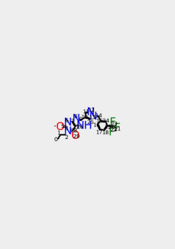 CCCn1c([O])nc2nc(-c3cnn(Cc4cccc(C(F)(F)F)c4)c3)[nH]c2c1=O